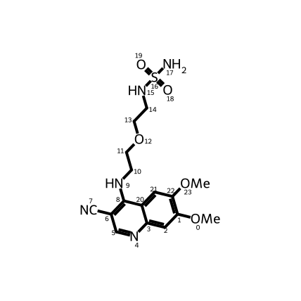 COc1cc2ncc(C#N)c(NCCOCCNS(N)(=O)=O)c2cc1OC